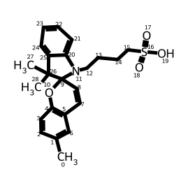 Cc1ccc2c(c1)C=CC1(O2)N(CCCCS(=O)(=O)O)c2ccccc2C1(C)C